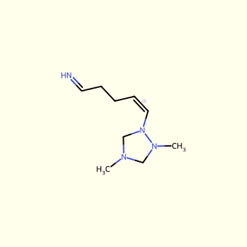 CN1CN(C)N(/C=C\CCC=N)C1